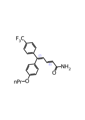 CCCOc1ccc(/C(=C\C=C\C(N)=O)c2ccc(C(F)(F)F)cc2)cc1